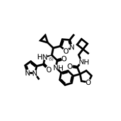 Cc1cc(C(C2CC2)[C@H](NC(=O)c2ccnn2C)C(=O)Nc2cccc(C3(C(=O)NCC4(C)CCC4)CCOC3)c2)on1